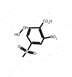 CS(=O)(=O)c1ccc(C(=O)O)c([N+](=O)[O-])c1.OO